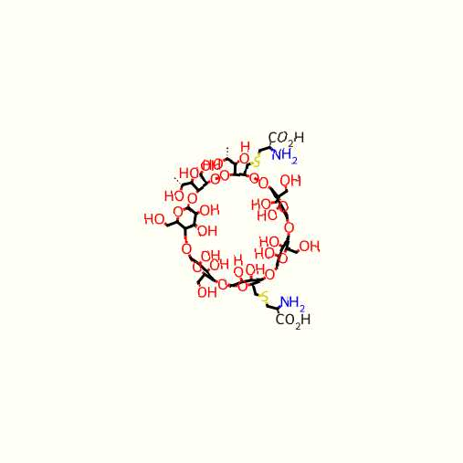 C[C@@H](O)C(O)C1OOC(CO)C(C(O)[C@@H](C)O)OC2OC(CO)C(OC3OC(CO)C(OC4OC(CSC[C@@H](N)C(=O)O)C(OC5OC(CO)C(OC6OC(CO)C(OOC1CSC[C@@H](N)C(=O)O)C(O)C6O)C(O)C5O)C(O)C4O)C(O)C3O)C(O)C2O